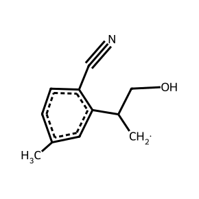 [CH2]C(CO)c1cc(C)ccc1C#N